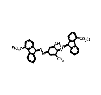 CCOC(=O)c1cccc2c1-c1ccccc1C2=NN=C1C=C(C)C(=NN=C2c3ccccc3-c3c(C(=O)OCC)cccc32)C(C)=C1